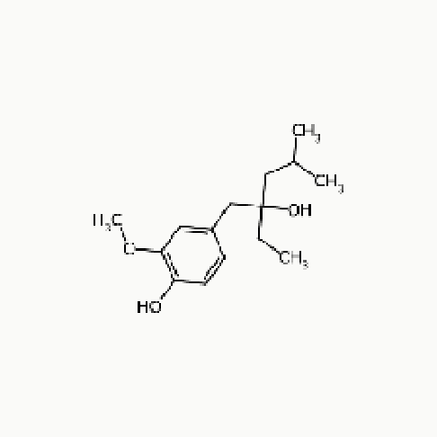 CCC(O)(Cc1ccc(O)c(OC)c1)CC(C)C